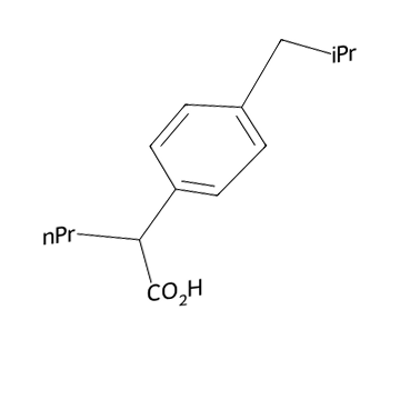 CCCC(C(=O)O)c1ccc(CC(C)C)cc1